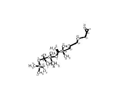 C=C(O[Si](C)(C)C(C)(CC)O[Si](C)(C)C)[Si](C)(C)CCCOCC1CO1